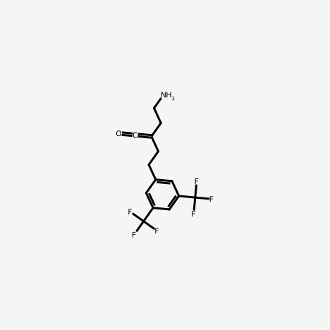 NCCC(=C=O)CCc1cc(C(F)(F)F)cc(C(F)(F)F)c1